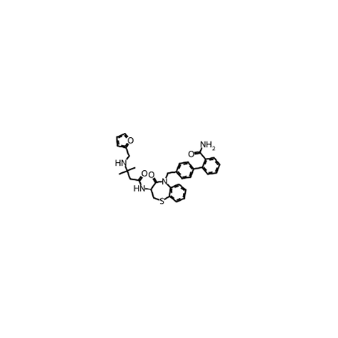 CC(C)(CC(=O)N[C@@H]1CSc2ccccc2N(Cc2ccc(-c3ccccc3C(N)=O)cc2)C1=O)NCc1ccco1